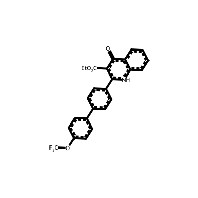 CCOC(=O)c1c(-c2ccc(-c3ccc(OC(F)(F)F)cc3)cc2)[nH]c2ccccc2c1=O